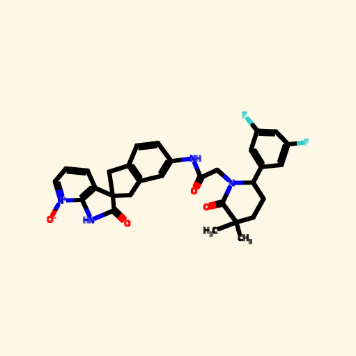 CC1(C)CCC(c2cc(F)cc(F)c2)N(CC(=O)Nc2ccc3c(c2)CC2(C3)C(=O)Nc3c2ccc[n+]3[O-])C1=O